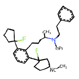 CC#N.CCCN(CCc1ccccc1)C(C)CCc1c(C2(F)CCCC2)cccc1C1(F)CCCC1